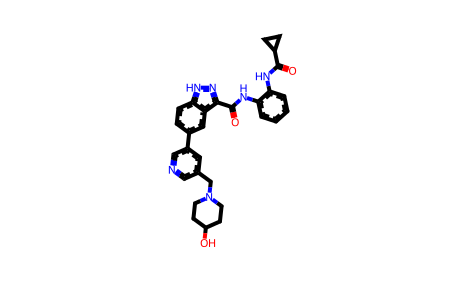 O=C(Nc1ccccc1NC(=O)C1CC1)c1n[nH]c2ccc(-c3cncc(CN4CCC(O)CC4)c3)cc12